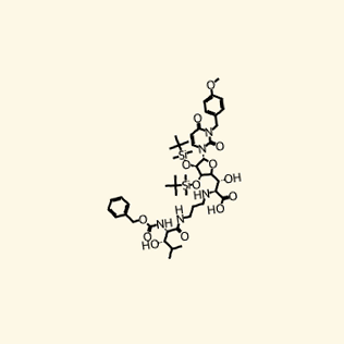 COc1ccc(Cn2c(=O)ccn([C@@H]3OC([C@H](O)[C@H](NCCCNC(=O)[C@@H](NC(=O)OCc4ccccc4)[C@@H](O)C(C)C)C(=O)O)[C@@H](O[Si](C)(C)C(C)(C)C)[C@H]3O[Si](C)(C)C(C)(C)C)c2=O)cc1